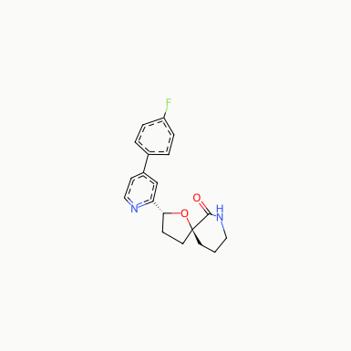 O=C1NCCC[C@]12CC[C@H](c1cc(-c3ccc(F)cc3)ccn1)O2